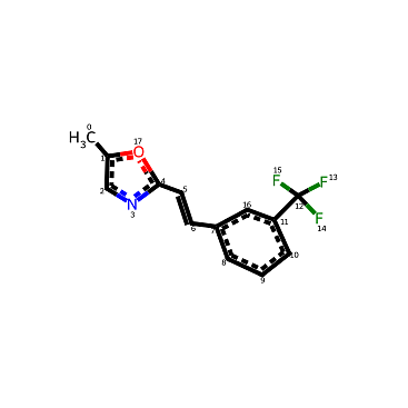 Cc1cnc(C=Cc2cccc(C(F)(F)F)c2)o1